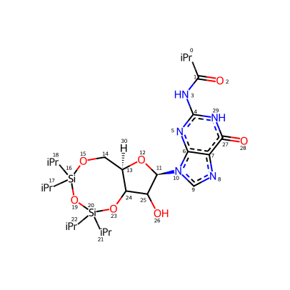 CC(C)C(=O)Nc1nc2c(ncn2[C@@H]2O[C@@H]3CO[Si](C(C)C)(C(C)C)O[Si](C(C)C)(C(C)C)OC3C2O)c(=O)[nH]1